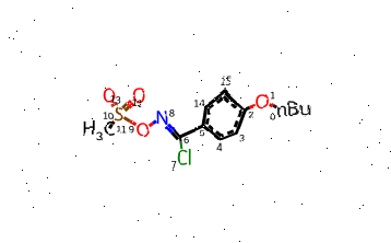 CCCCOc1ccc(C(Cl)=NOS(C)(=O)=O)cc1